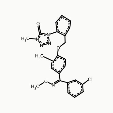 CON=C(c1cccc(Cl)c1)c1ccc(OCc2ccccc2-n2nnn(C)c2=O)c(C)c1